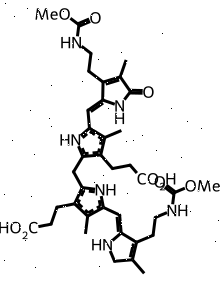 COC(=O)NCCC1=C(C)CN/C1=C\c1[nH]c(Cc2[nH]c(/C=C3\NC(=O)C(C)=C3CCNC(=O)OC)c(C)c2CCC(=O)O)c(CCC(=O)O)c1C